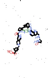 O=C1CC[C@@H](CNCc2cnc3c(Nc4cccc(-c5cccc(NC(=O)c6cc7c(cn6)CN(CC68CCC(C(=O)O)(CC6)C8)CC7)c5Cl)c4Cl)nccc3c2)N1